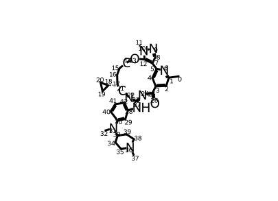 Cc1cc2cc(n1)-c1cnn(C)c1OCCC[C@@H](C1CC1)CN1/C(=N/C2=O)Nc2cc(N(C)C3CCN(C)CC3)ccc21